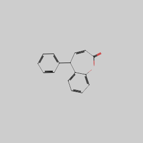 O=C1C=CC(c2ccccc2)c2ccccc2O1